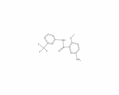 COc1ccc(N)cc1C(=O)Nc1cccc(C(F)(F)F)c1